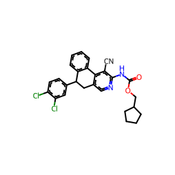 N#Cc1c(NC(=O)OCC2CCCC2)ncc2c1-c1ccccc1C(c1ccc(Cl)c(Cl)c1)C2